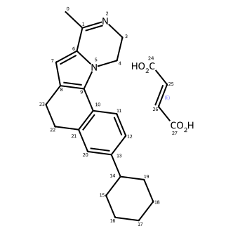 CC1=NCCn2c1cc1c2-c2ccc(C3CCCCC3)cc2CC1.O=C(O)/C=C/C(=O)O